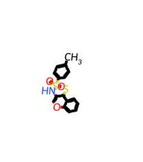 Cc1ccc(S(=O)(=O)Nc2coc3ccccc3c2=S)cc1